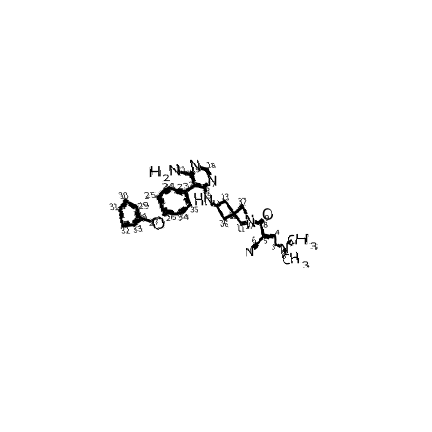 CN(C)C/C=C(\C#N)C(=O)N1CC2(CC(Nc3ncnc(N)c3-c3ccc(Oc4ccccc4)cc3)C2)C1